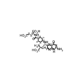 C[C@H](N)C(=O)O.Nc1nc(=O)c2nc(CNc3ccc(C(=O)N[C@@H](CCC(=O)O)C(=O)O)cc3)cnc2[nH]1